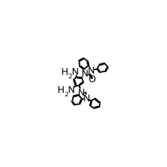 Nc1cc(N)c(-n2c(=O)n(-c3ccccc3)c3ccccc32)cc1N1CN(c2ccccc2)c2ccccc21